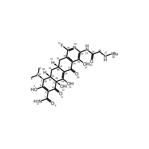 CN(C)[C@@H]1C(O)=C(C(N)=O)C(=O)[C@@]2(O)C(O)=C3C(=O)c4c(O)c(NC(=O)CNC(C)(C)C)nc(F)c4C[C@H]3C[C@@H]12